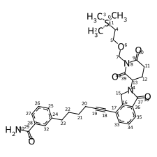 C[Si](C)(C)CCOCN1C(=O)CCC(N2Cc3c(C#CCCCCc4cccc(C(N)=O)c4)cccc3C2=O)C1=O